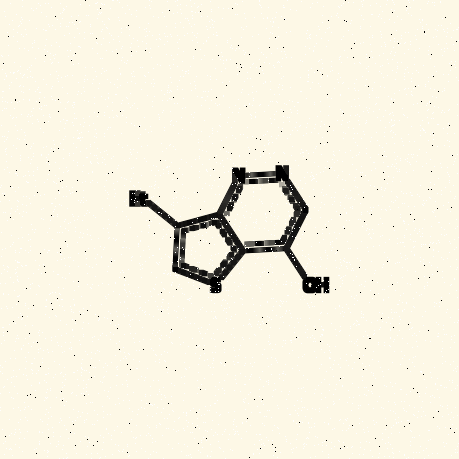 CCc1csc2c(O)cnnc12